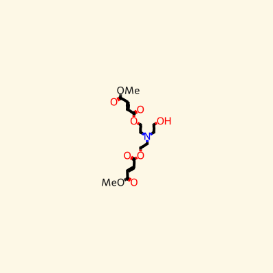 COC(=O)/C=C/C(=O)OCCN(CCO)CCOC(=O)/C=C/C(=O)OC